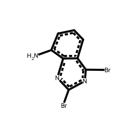 Nc1cccc2c(Br)nc(Br)nc12